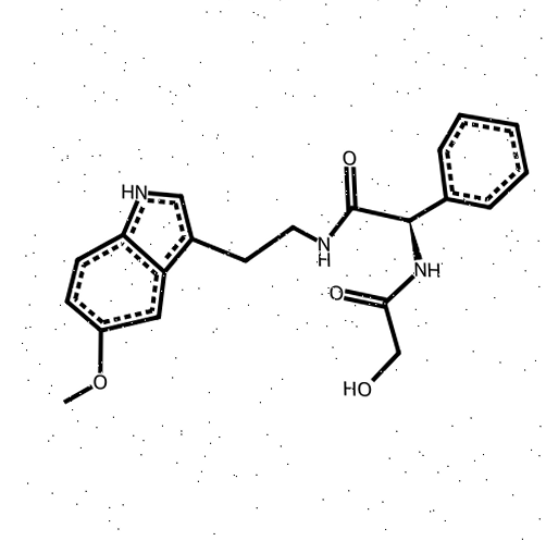 COc1ccc2[nH]cc(CCNC(=O)[C@H](NC(=O)CO)c3ccccc3)c2c1